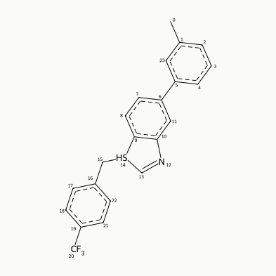 Cc1cccc(-c2ccc3c(c2)N=C[SH]3Cc2ccc(C(F)(F)F)cc2)c1